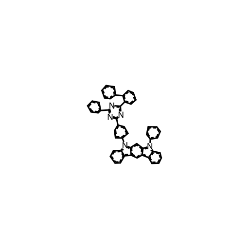 c1ccc(-c2nc(-c3ccc(-n4c5ccccc5c5cc6c7ccccc7n(-c7ccccc7)c6cc54)cc3)nc(-c3ccccc3-c3ccccc3)n2)cc1